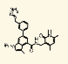 Cc1cc(C)c(CNC(=O)c2cc(-c3cccc(CN=NN)c3)cc3c2c(C)cn3C(C)C)c(=O)[nH]1